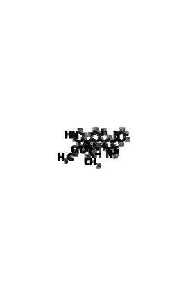 CCNC(=O)Nc1c(C(=O)C2CCNCC2C(=O)OCC)ccc(F)c1-c1cc(-c2ccccn2)c2scnc2c1